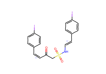 O=C(/C=C\c1ccc(I)cc1)CS(=O)(=O)N/C=C/c1ccc(I)cc1